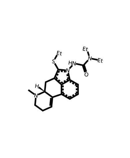 CCSc1c2c3c(cccc3n1NC(=O)N(CC)CC)C1=CCCN(C)[C@@H]1C2